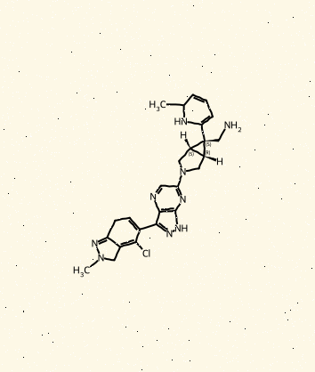 CC1C=CC=C([C@]2(CN)[C@@H]3CN(c4cnc5c(C6=CCC7=NN(C)CC7=C6Cl)n[nH]c5n4)C[C@@H]32)N1